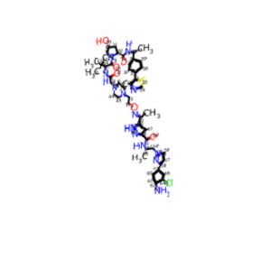 C/C(=N\OCCN1CCN(CC(=O)N[C@H](C(=O)N2C[C@H](O)C[C@H]2C(=O)N[C@@H](C)c2ccc(-c3scnc3C)cc2)C(C)(C)C)CC1)c1cc(C(=O)N[C@@H](C)Cn2ccc(-c3ccc(N)c(Cl)c3)n2)n[nH]1